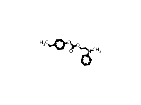 CCc1ccc(OC(=O)OCCN(C)c2ccccc2)cc1